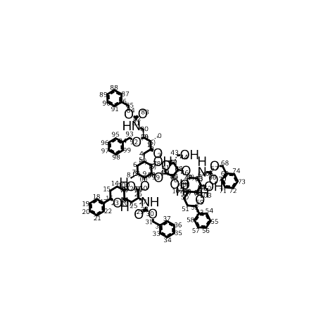 C[C@H](C(=O)C[C@@H]1C[C@H](C)[C@@H](O[C@H]2O[C@@H]3CCC(c4ccccc4)O[C@H]3CC2NC(=O)OCc2ccccc2)[C@H](O[C@@H]2O[C@H](CO)[C@@H](O[C@H]3O[C@H]4CCC(c5ccccc5)O[C@H]4[C@H](O)[C@H]3NC(=O)OCc3ccccc3)[C@H]2O)[C@H]1O)[C@H](CNC(=O)OCc1ccccc1)OCc1ccccc1